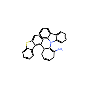 NC1=C(n2c3ccccc3c3ccccc32)C(c2cccc3sc4ccccc4c23)CC=CC1